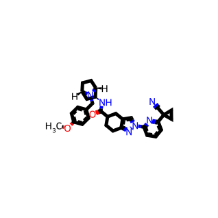 COc1ccc(CN2[C@H]3CC[C@@H]2[C@H](NC(=O)C2CCc4nn(-c5cccc(C6(C#N)CC6)n5)cc4C2)C3)cc1